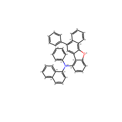 c1ccc(-c2cc3c(oc4cccc(N(c5ccccc5)c5cccc6ccccc56)c43)c3ccccc23)cc1